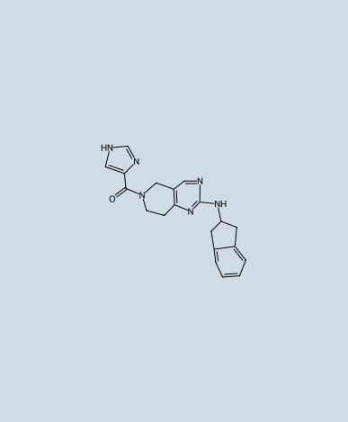 O=C(c1c[nH]cn1)N1CCc2nc(NC3Cc4ccccc4C3)ncc2C1